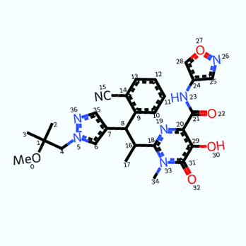 COC(C)(C)Cn1cc(C(c2ccccc2C#N)C(C)c2nc(C(=O)Nc3cnoc3)c(O)c(=O)n2C)cn1